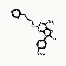 CCc1nc2c(N)nc(OCCCc3ccccc3)nc2n1-c1ccc(OC)cc1